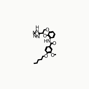 CCCCCOc1ccc(C(=O)Nc2cccc3c2OC(c2nnn[nH]2)CO3)cc1OC